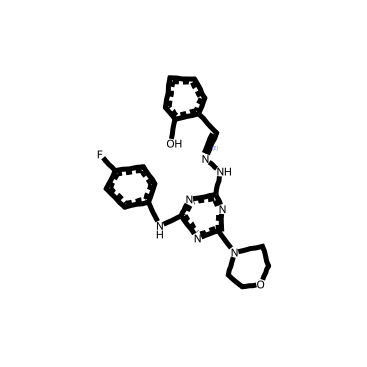 Oc1ccccc1/C=N/Nc1nc(Nc2ccc(F)cc2)nc(N2CCOCC2)n1